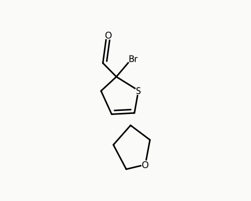 C1CCOC1.O=CC1(Br)CC=CS1